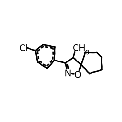 CC1C(c2ccc(Cl)cc2)=NOC12CCCCC2